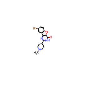 CN1CCC(c2nc3c(oc4ccc(Br)cc43)c(=O)[nH]2)CC1